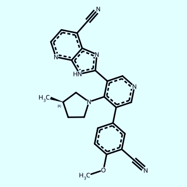 COc1ccc(-c2cncc(-c3nc4c(C#N)ccnc4[nH]3)c2N2CC[C@@H](C)C2)cc1C#N